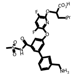 CC(C)CC(Oc1nc(Oc2cc(C(=O)NS(C)(=O)=O)cc(-c3cccc(CN)c3)c2)c(F)cc1F)C(=O)O